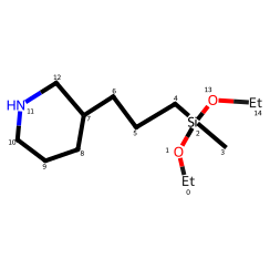 CCO[Si](C)(CCCC1CCCNC1)OCC